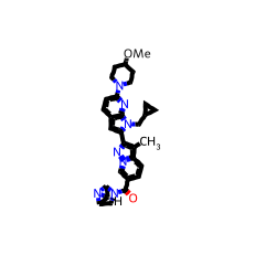 COC1CCN(c2ccc3cc(-c4nn5cc(C(=O)N6CC7[C@@H]8C6N78)ccc5c4C)n(CC4CC4)c3n2)CC1